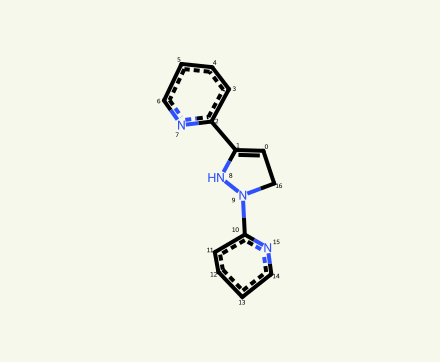 C1=C(c2ccccn2)NN(c2ccccn2)C1